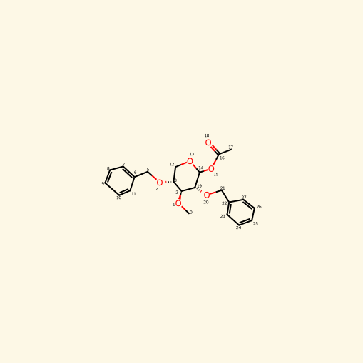 CO[C@H]1[C@H](OCc2ccccc2)COC(OC(C)=O)[C@@H]1OCc1ccccc1